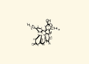 Cc1ccc(-c2c(CC(=O)O)c(C)nc3c2CN(Cc2cccc(Cl)c2)CC3)cc1